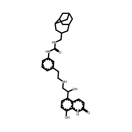 O=C(NCC1CC2CC3CC(C1)C(C2)C3)Nc1cccc(CCNCC(O)c2ccc(O)c3[nH]c(=O)ccc23)c1